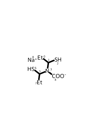 CCC(S)N(C(=O)[O-])C(S)CC.[Na+]